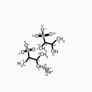 CC(O)C(C)S(=O)(=O)[O-].CC(O)C(C)S(=O)(=O)[O-].[Na+].[Na+]